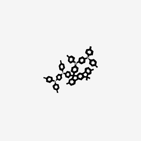 Cc1ccc(N(c2ccc(C)cc2)c2ccc(N(c3ccc(C)cc3)c3ccc(C4(c5ccc(N(c6ccc(C)cc6)c6ccc(N(c7ccc(C)cc7)c7ccc(C)cc7)cc6)cc5)c5cc(C)ccc5-c5cc6c(cc54)-c4ccc(C)cc4C6(C)C)cc3)cc2)cc1